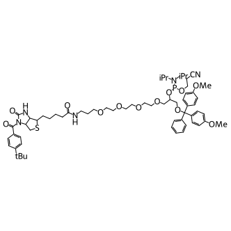 COc1ccc(C(OCC(COCCOCCOCCOCCCNC(=O)CCCCC2SCC3C2NC(=O)N3C(=O)c2ccc(C(C)(C)C)cc2)OP(OCCC#N)N(C(C)C)C(C)C)(c2ccccc2)c2ccc(OC)cc2)cc1